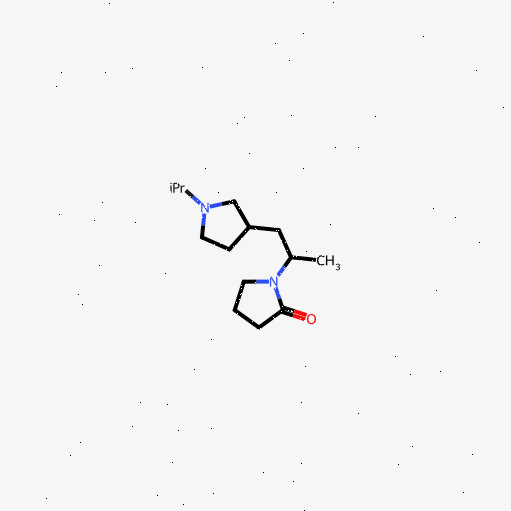 CC(C)N1CCC(CC(C)N2CCCC2=O)C1